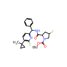 CC(C)(C)OC(=O)N1CC(F)CC1C(=O)NC(c1ccccc1)c1ccc(C2(C)CC2)c(F)n1